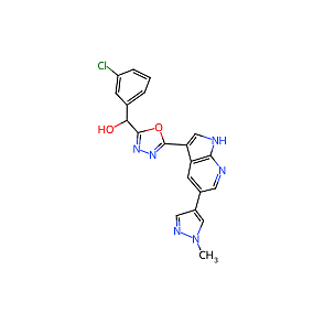 Cn1cc(-c2cnc3[nH]cc(-c4nnc(C(O)c5cccc(Cl)c5)o4)c3c2)cn1